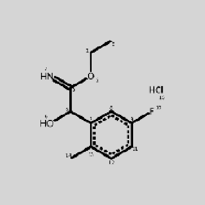 CCOC(=N)C(O)c1cc(F)ccc1C.Cl